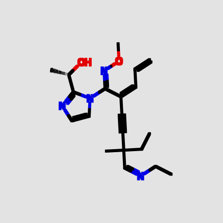 C=C/C=C(C#CC(C)(/C=N\CC)CC)\C(=N/OC)n1ccnc1[C@H](C)O